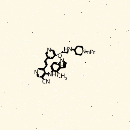 CCCN1CCC(NCCOc2cncc(C=Cc3cncc(C#N)c3Nc3ccc4[nH]ccc4c3C)c2)CC1